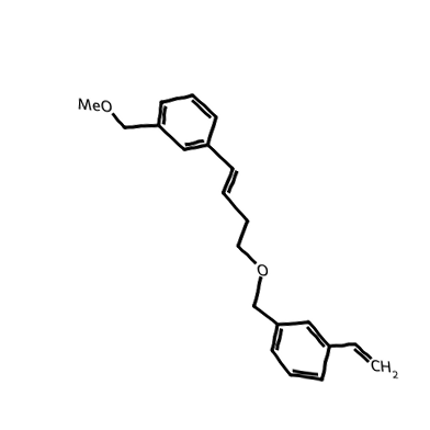 C=Cc1cccc(COCC/C=C/c2cccc(COC)c2)c1